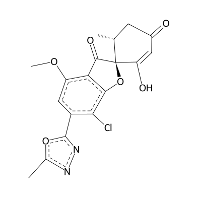 COc1cc(-c2nnc(C)o2)c(Cl)c2c1C(=O)[C@@]1(O2)C(O)=CC(=O)C[C@H]1C